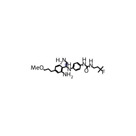 COCCCc1ccc(/C(=C\N)Nc2ccc(NC(=O)NCCC(C)(C)F)cc2)c(N)c1